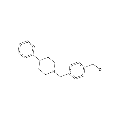 [O]Cc1ccc(CN2CCC(c3ccccc3)CC2)cc1